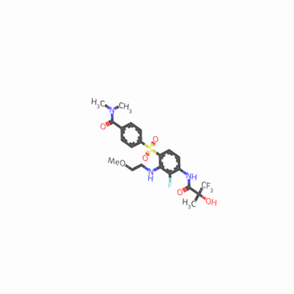 COCCNc1c(S(=O)(=O)c2ccc(C(=O)N(C)C)cc2)ccc(NC(=O)C(C)(O)C(F)(F)F)c1F